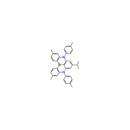 Cc1ccc(N2c3cc(C)ccc3B3c4ccc(C)cc4N(c4ccc(C)cc4)c4cc(C(C)C)cc2c43)cc1